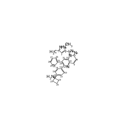 Cc1cc(-c2nnc3ccc4nc(-c5ccc(C6(N)CCC6)cc5)c(-c5ccccc5)cc4n23)n(C)n1